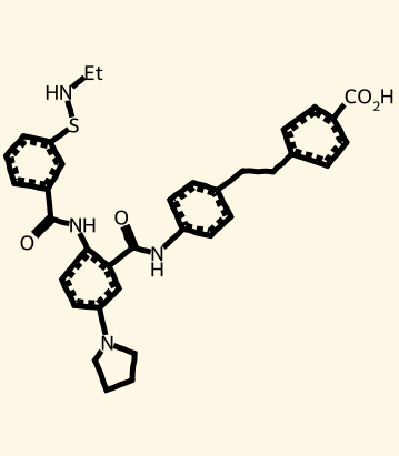 CCNSc1cccc(C(=O)Nc2ccc(N3CCCC3)cc2C(=O)Nc2ccc(CCc3ccc(C(=O)O)cc3)cc2)c1